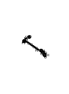 O=C1CCC(n2nnc3ccc(NCCOCCOCCOCCOCCOc4c(-c5csc(N6CCOCC6)n5)ccc(F)c4F)cc3c2=O)C(=O)N1